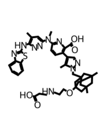 Cc1cc(N(C)c2ccc(-c3cnn(CC45CC6(C)CC(C)(C4)CC(OCCNCCC(=O)O)(C6)C5)c3C)c(C(=O)O)n2)nnc1Nc1nc2ccccc2s1